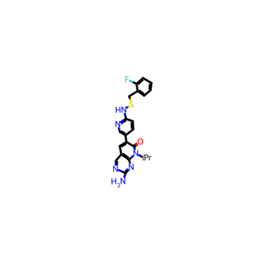 CC(C)n1c(=O)c(-c2ccc(NSCc3ccccc3F)nc2)cc2cnc(N)nc21